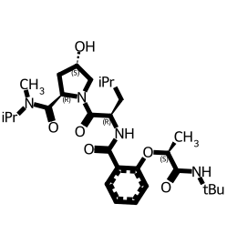 CC(C)C[C@@H](NC(=O)c1ccccc1O[C@@H](C)C(=O)NC(C)(C)C)C(=O)N1C[C@@H](O)C[C@@H]1C(=O)N(C)C(C)C